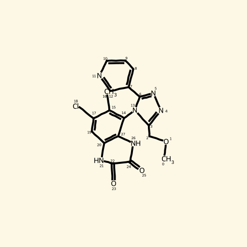 COCc1nnc(-c2cccnc2)n1-c1c(C)c(Cl)cc2[nH]c(=O)c(=O)[nH]c12